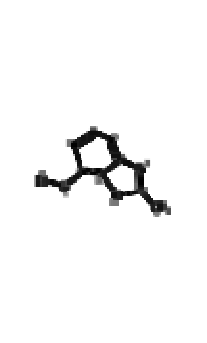 CCOc1cccc2nc(C)oc12